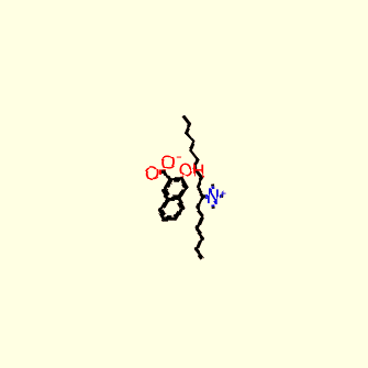 CCCCCCCCCC(CCCCCC)[N+](C)(C)C.O=C([O-])c1cc2ccccc2cc1O